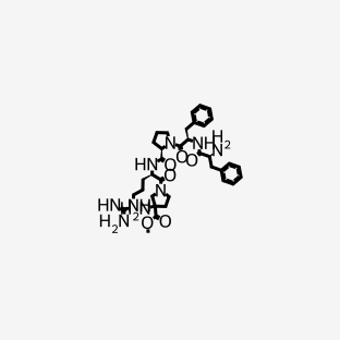 COC(=O)C1(N)CCN(C(=O)[C@@H](CCCNC(=N)N)NC(=O)[C@H]2CCCN2C(=O)[C@@H](Cc2ccccc2)NC(=O)[C@H](N)Cc2ccccc2)C1